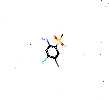 CS(=O)(=O)c1cc(Br)c(F)cc1N